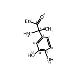 CCC(=O)C(C)(C)c1ccc(O)c(O)c1